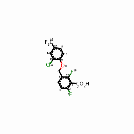 O=C(O)c1c(F)ccc(COc2ccc(C(F)(F)F)cc2Cl)c1F